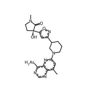 Cc1cc(N2CCCC(c3cc([C@]4(O)CCN(C)C4=O)on3)C2)nc2c([AsH2])ncnc12